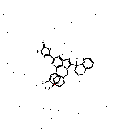 CC1CCC(Cn2c(C3(F)CCOc4cccnc43)nc3nc(-c4n[nH]c(=O)o4)nc(-c4cncc(Cl)c4)c32)CC1